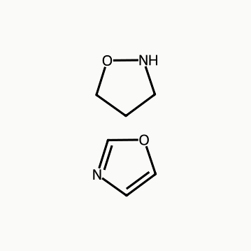 C1CNOC1.c1cocn1